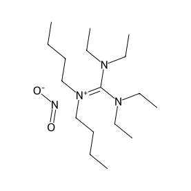 CCCC[N+](CCCC)=C(N(CC)CC)N(CC)CC.O=N[O-]